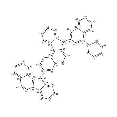 c1ccc(-c2nc(-n3c4ccccc4c4c5ccc(-n6c7ccccc7c7ccc8ccccc8c76)cc5ccc43)nc3ccccc23)cc1